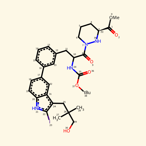 COC(=O)[C@@H]1CCCN(C(=O)C(Cc2cccc(-c3ccc4[nH]c(I)c(CC(C)(C)CO)c4c3)c2)NC(=O)OC(C)(C)C)N1